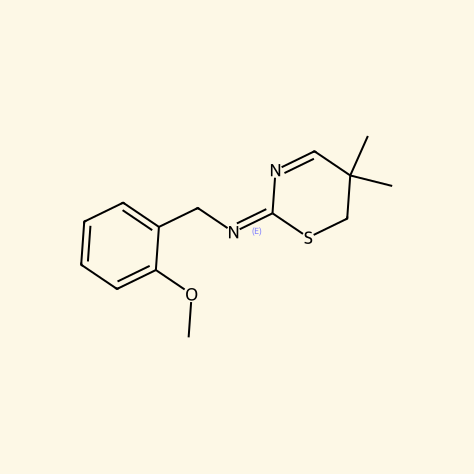 COc1ccccc1C/N=C1\N=CC(C)(C)CS1